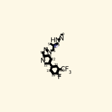 C=NN/C=C(\C)Cn1ncc2ncc(-c3ccc(F)c(C(F)(F)F)c3)cc21